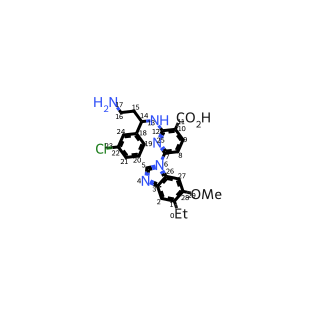 CCc1cc2ncn(-c3ccc(C(=O)O)c(NC(CCN)c4cccc(Cl)c4)n3)c2cc1OC